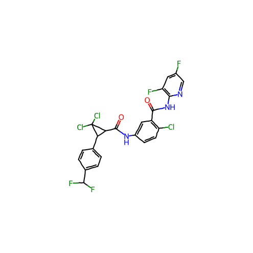 O=C(Nc1ncc(F)cc1F)c1cc(NC(=O)C2C(c3ccc(C(F)F)cc3)C2(Cl)Cl)ccc1Cl